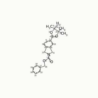 CC1(C)OB(c2ccc3c(c2)CN(C(=O)OCc2ccccc2)C3)OC1(C)C